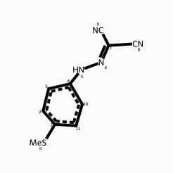 CSc1ccc(NN=C(C#N)C#N)cc1